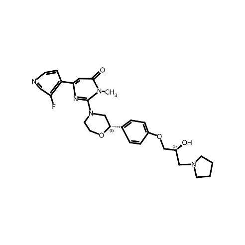 Cn1c(N2CCO[C@@H](c3ccc(OC[C@@H](O)CN4CCCC4)cc3)C2)nc(-c2ccncc2F)cc1=O